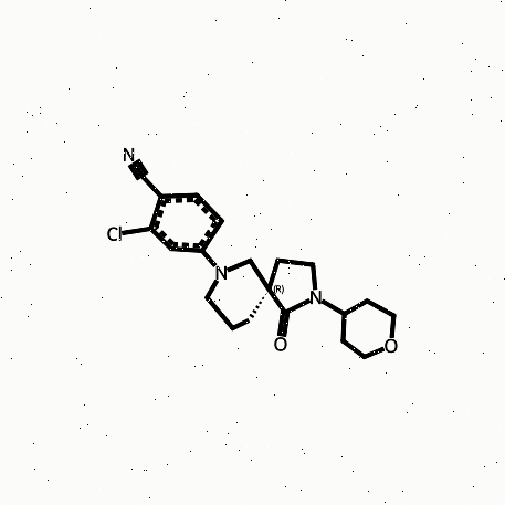 N#Cc1ccc(N2CCC[C@@]3(CCN(C4CCOCC4)C3=O)C2)cc1Cl